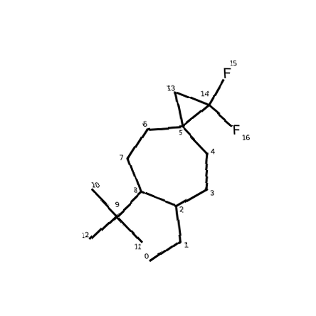 CCC1CCC2(CCC1C(C)(C)C)CC2(F)F